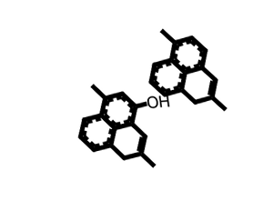 CC1=Cc2c(O)cc(C)c3cccc(c23)C1.CC1=Cc2ccc(C)c3cccc(c23)C1